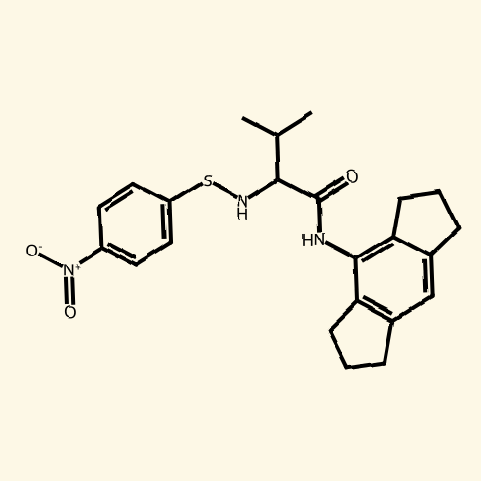 CC(C)C(NSc1ccc([N+](=O)[O-])cc1)C(=O)Nc1c2c(cc3c1CCC3)CCC2